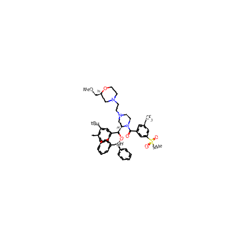 CNS(=O)(=O)c1cc(C(=O)N2CCN(CCN3CCO[C@H](COC)C3)C[C@@H]2C(O[SiH](c2ccccc2)c2ccccc2)c2ccc(C)c(C(C)(C)C)c2)cc(C(F)(F)F)c1